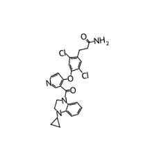 NC(=O)CCc1cc(Cl)c(Oc2ccncc2C(=O)N2CCN(C3CC3)c3ccccc32)cc1Cl